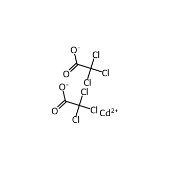 O=C([O-])C(Cl)(Cl)Cl.O=C([O-])C(Cl)(Cl)Cl.[Cd+2]